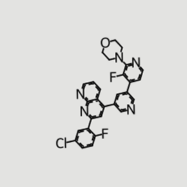 Fc1ccc(Cl)cc1-c1cc(-c2cncc(-c3ccnc(N4CCOCC4)c3F)c2)c2cccnc2n1